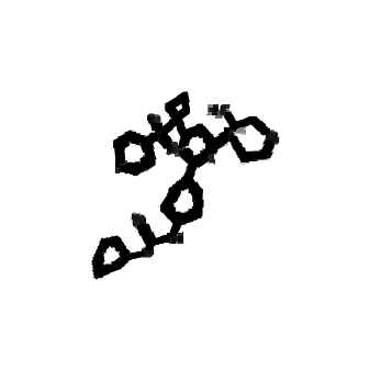 C[C@H]1COCCN1c1cc(C2(S(=O)(=O)c3ccncc3)CCC2)nc(-c2ccc(NC(=O)Oc3ccccc3)cc2)n1